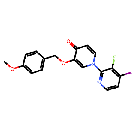 COc1ccc(COc2cn(-c3nccc(I)c3F)ccc2=O)cc1